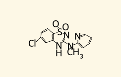 CN(C1=NS(=O)(=O)c2ccc(Cl)cc2N1)c1ccccn1